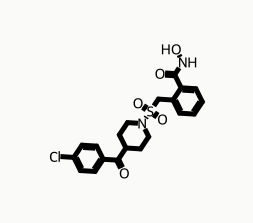 O=C(NO)c1ccccc1CS(=O)(=O)N1CCC(C(=O)c2ccc(Cl)cc2)CC1